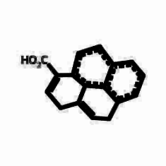 O=C(O)C1=CCC2=CCc3cccc4ccc1c2c34